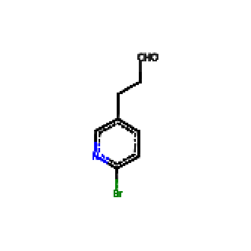 O=CCCc1ccc(Br)nc1